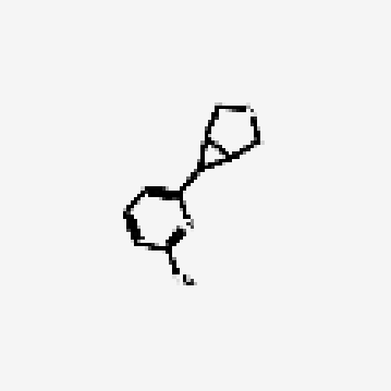 CC(C)(C)c1cccc(C2C3CNCC32)n1